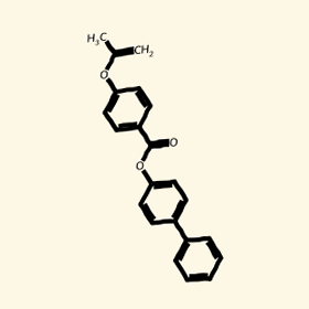 C=C(C)Oc1ccc(C(=O)Oc2ccc(-c3ccccc3)cc2)cc1